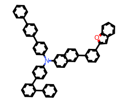 c1ccc(-c2ccc(-c3ccc(N(c4ccc(-c5ccccc5-c5ccccc5)cc4)c4ccc5cc(-c6cccc(-c7cc8ccccc8o7)c6)ccc5c4)cc3)cc2)cc1